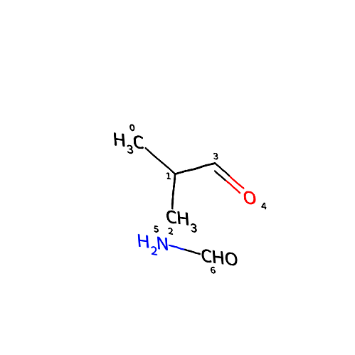 CC(C)C=O.NC=O